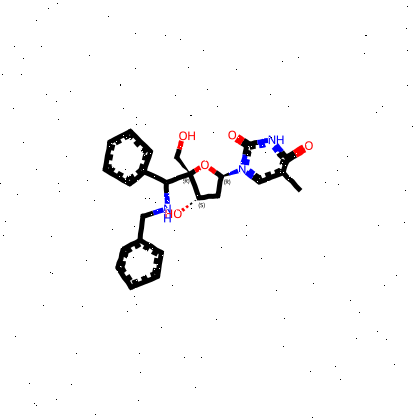 Cc1cn([C@H]2C[C@H](O)[C@](CO)(C(NCc3ccccc3)c3ccccc3)O2)c(=O)[nH]c1=O